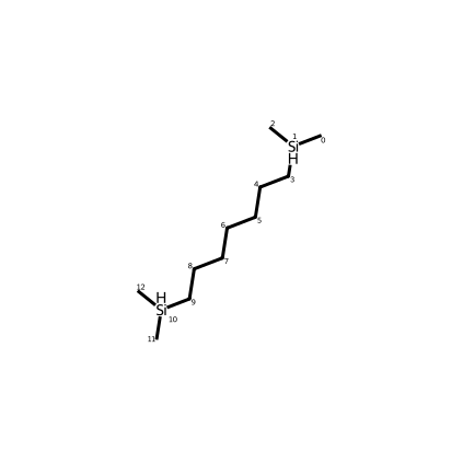 C[SiH](C)CCCCCCC[SiH](C)C